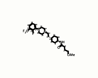 COCCCC(=O)N[C@H]1CC[C@H](CCN2CCN(c3cccc(C(F)(F)F)c3F)CC2)CC1